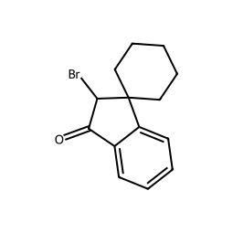 O=C1c2ccccc2C2(CCCCC2)C1Br